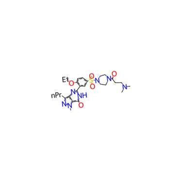 CCCc1nn(C)c2c(=O)[nH]c(-c3cc(S(=O)(=O)N4CCN(C(=O)CCN(C)C)CC4)ccc3OCC)nc12